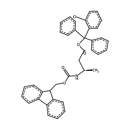 C[C@H](CC(=O)OC(c1ccccc1)(c1ccccc1)c1ccccc1Cl)NC(=O)OCC1c2ccccc2-c2ccccc21